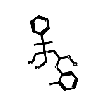 CCOC(C[N+](CC(C)C)(CC(C)C)C(C)(C)c1ccccc1)Oc1ccccc1C